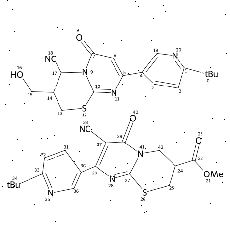 CC(C)(C)c1ccc(-c2cc(=O)n3c(n2)SCC(CO)C3C#N)cn1.COC(=O)C1CSc2nc(-c3ccc(C(C)(C)C)nc3)c(C#N)c(=O)n2C1